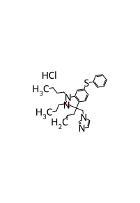 C=CCC(C#N)(Cn1ccnc1)c1ccc(Sc2ccccc2)cc1N(CCCC)CCCC.Cl